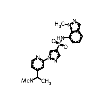 CNC(C)c1ccnc(-n2cc(S(=O)(=O)Nc3cccc4cnn(C)c34)cn2)c1